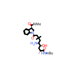 CCCCNC(=O)[C@H](C)C[C@H](O)[C@@H](N)CC(C)(C)CC(=O)N1C[C@H](C(=O)NC)c2ccccc21